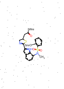 CNC(=O)CC1CN=C(c2cc3cccc(N(C)S(=O)(=O)c4ccccc4OC)c3[nH]2)S1